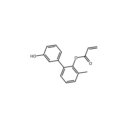 C=CC(=O)Oc1c(C)cccc1-c1cccc(O)c1